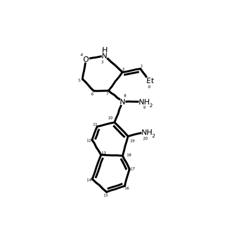 CC/C=C1/NOCCC1N(N)c1ccc2ccccc2c1N